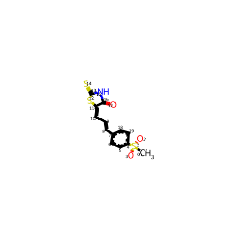 CS(=O)(=O)c1ccc(C=CC=C2SC(=S)NC2=O)cc1